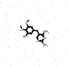 CSc1cc(Cc2cnc(N)nc2N)cc(Br)c1SC